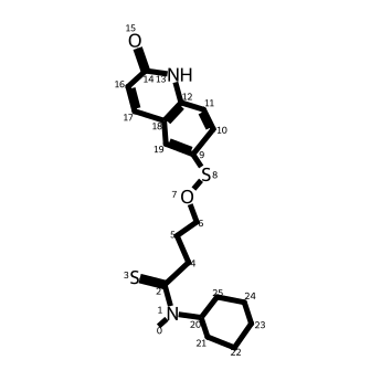 CN(C(=S)CCCOSc1ccc2[nH]c(=O)ccc2c1)C1CCCCC1